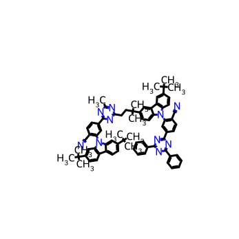 Cc1nc(CCC(C)(C)c2ccc3c(c2)c2cc(C(C)(C)C)ccc2n3-c2cc(-c3nc(-c4ccccc4)nc(-c4ccccc4)n3)ccc2C#N)nc(-c2ccc(C#N)c(-n3c4cc(C(C)(C)C)ccc4c4ccc(C(C)(C)C)cc43)c2)n1